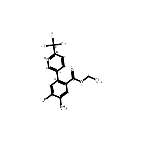 CCOC(=O)c1cc(N)c(F)cc1-c1ccc(C(F)(F)F)nc1